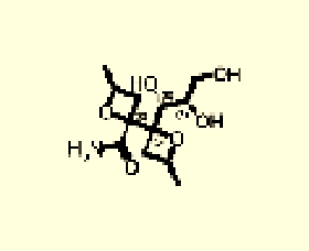 CC1C[C@](C(N)=O)([C@@]2([C@H](O)[C@H](O)CO)CC(C)O2)O1